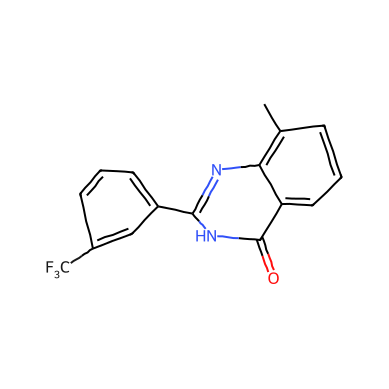 Cc1cccc2c(=O)[nH]c(-c3cccc(C(F)(F)F)c3)nc12